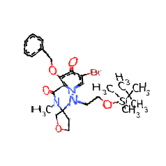 CN1C(=O)c2c(OCc3ccccc3)c(=O)c(Br)cn2N(CCO[Si](C)(C)C(C)(C)C)C12CCOC2